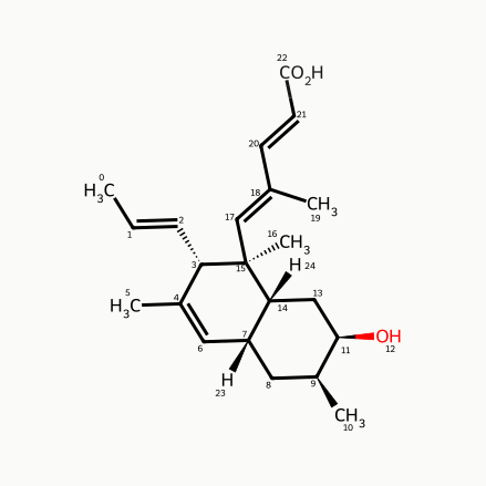 C/C=C/[C@H]1C(C)=C[C@H]2C[C@H](C)[C@H](O)C[C@H]2[C@]1(C)/C=C(C)/C=C/C(=O)O